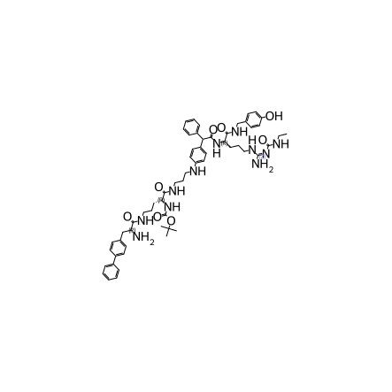 CCNC(=O)/N=C(/N)NCCC[C@@H](NC(=O)C(c1ccccc1)c1ccc(NCCCNC(=O)[C@@H](CCCNC(=O)[C@H](N)Cc2ccc(-c3ccccc3)cc2)NC(=O)OC(C)(C)C)cc1)C(=O)NCc1ccc(O)cc1